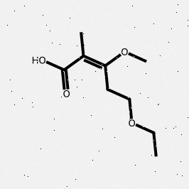 CCOCC/C(OC)=C(/C)C(=O)O